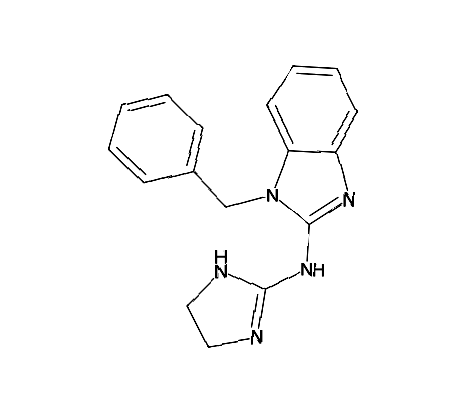 c1ccc(Cn2c(NC3=NCCN3)nc3ccccc32)cc1